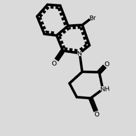 O=C1CCC(n2cc(Br)c3ccccc3c2=O)C(=O)N1